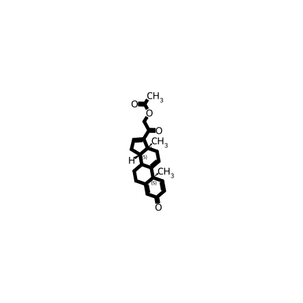 CC(=O)OCC(=O)C1=CC[C@H]2C3CCC4=CC(=O)C=C[C@]4(C)C3=CC[C@]12C